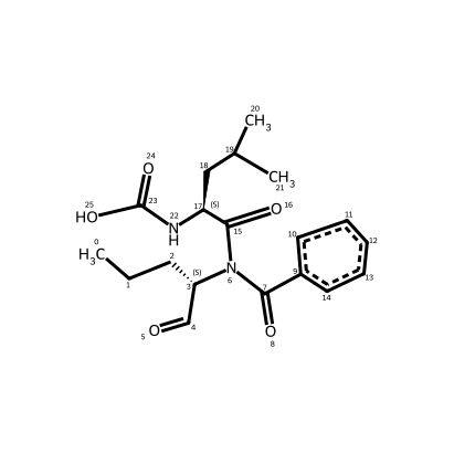 CCC[C@@H](C=O)N(C(=O)c1ccccc1)C(=O)[C@H](CC(C)C)NC(=O)O